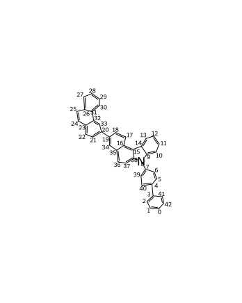 c1ccc(-c2ccc(-n3c4ccccc4c4c5ccc(-c6ccc7ccc8ccccc8c7c6)cc5ccc43)cc2)cc1